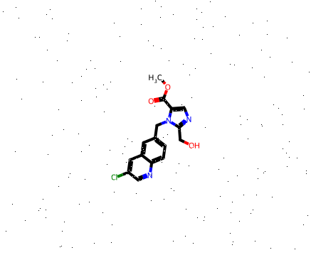 COC(=O)c1cnc(CO)n1Cc1ccc2ncc(Cl)cc2c1